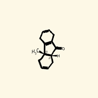 C[C@]12CC=CC[C@H]1C(=O)C1=C2CC=CC1